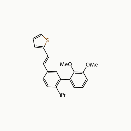 COc1cccc(-c2cc(C=Cc3cccs3)ccc2C(C)C)c1OC